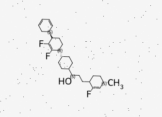 C[C@@H]1C=C(F)C(CC[C@H](O)C2CCC([C@H]3CCC([C@@H]4C=CC=CC4)C(F)=C3F)CC2)CC1